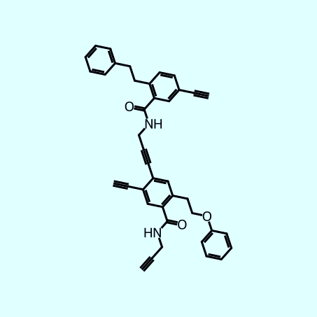 C#CCNC(=O)c1cc(C#C)c(C#CCNC(=O)c2cc(C#C)ccc2CCc2ccccc2)cc1CCOc1ccccc1